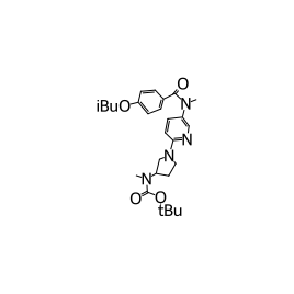 CC(C)COc1ccc(C(=O)N(C)c2ccc(N3CCC(N(C)C(=O)OC(C)(C)C)C3)nc2)cc1